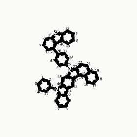 c1ccc(-n2c3ccccc3c3cc4c5c6ccccc6ccc5n(-c5ccc(-c6cccc7sc8ccccc8c67)cc5)c4cc32)cc1